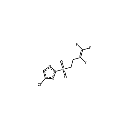 O=S(=O)(CCC(F)=C(F)F)c1ncc(Cl)s1